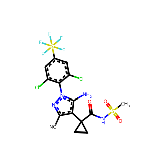 CS(=O)(=O)NC(=O)C1(c2c(C#N)nn(-c3c(Cl)cc(S(F)(F)(F)(F)F)cc3Cl)c2N)CC1